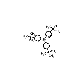 CC(C)(C)c1ccc([Se+](c2ccc(C(C)(C)C)cc2)c2ccc(C(C)(C)C)cc2)cc1